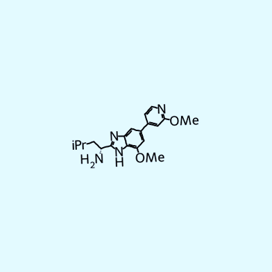 COc1cc(-c2cc(OC)c3[nH]c([C@H](N)CC(C)C)nc3c2)ccn1